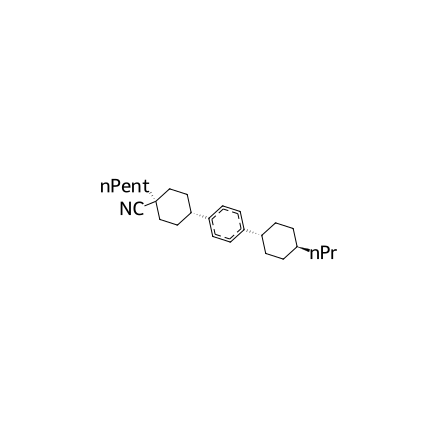 CCCCC[C@]1(C#N)CC[C@H](c2ccc([C@H]3CC[C@H](CCC)CC3)cc2)CC1